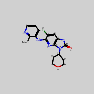 COc1ncccc1Nc1nc2c(cc1F)[nH]c(=O)n2C1CCOCC1